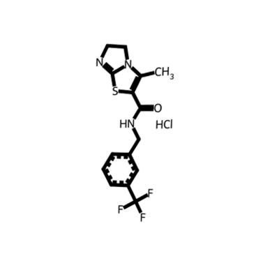 CC1=C(C(=O)NCc2cccc(C(F)(F)F)c2)SC2=NCCN21.Cl